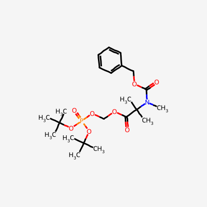 CN(C(=O)OCc1ccccc1)C(C)(C)C(=O)OCOP(=O)(OC(C)(C)C)OC(C)(C)C